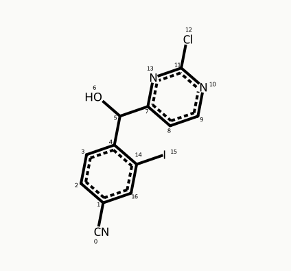 N#Cc1ccc(C(O)c2ccnc(Cl)n2)c(I)c1